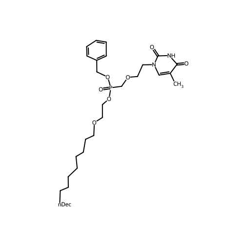 CCCCCCCCCCCCCCCCCCOCCOP(=O)(COCCn1cc(C)c(=O)[nH]c1=O)OCc1ccccc1